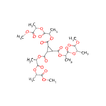 COC(=O)C(C)OC(=O)C(C)OC(=O)C1C(C(=O)OC(C)C(=O)OC(C)C(=O)OC)C1C(=O)OC(C)C(=O)OC(C)C(=O)OC